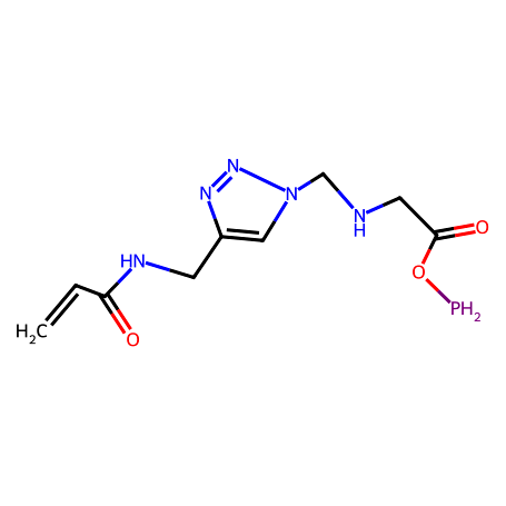 C=CC(=O)NCc1cn(CNCC(=O)OP)nn1